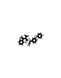 CC(C)C(C(=O)OC(C#N)c1cccc(Oc2ccccc2)c1)c1csc2ccccc12